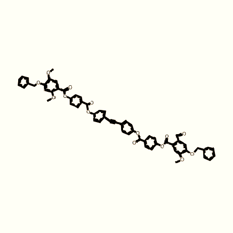 COc1cc(C(=O)Oc2ccc(C(=O)Oc3ccc(C#Cc4ccc(OC(=O)c5ccc(OC(=O)c6cc(OC)c(OCc7ccccc7)cc6OC)cc5)cc4)cc3)cc2)c(C=O)cc1OCc1ccccc1